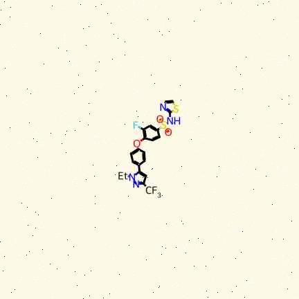 CCn1nc(C(F)(F)F)cc1-c1ccc(Oc2ccc(S(=O)(=O)Nc3nccs3)cc2F)cc1